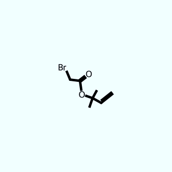 C=CC(C)(C)OC(=O)CBr